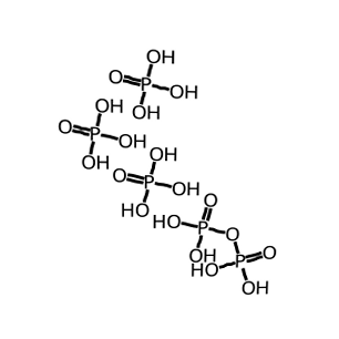 O=P(O)(O)O.O=P(O)(O)O.O=P(O)(O)O.O=P(O)(O)OP(=O)(O)O